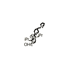 CC(C)C[C@H]1C(=O)N([C@@H](CC(C)C)C(=O)N2CCC(CCN3CCCC3)CC2)CCN1C=O